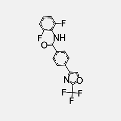 O=C(Nc1c(F)cccc1F)c1ccc(-c2coc(C(F)(F)F)n2)cc1